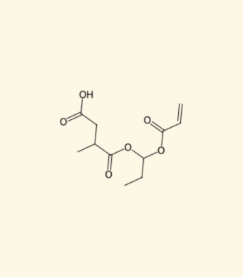 C=CC(=O)OC(CC)OC(=O)C(C)CC(=O)O